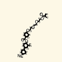 C=C(C)C(=O)OCCOCCOCCOc1ccc(C(=O)Oc2ccc(-c3ccc(C#N)cc3)cc2F)cc1